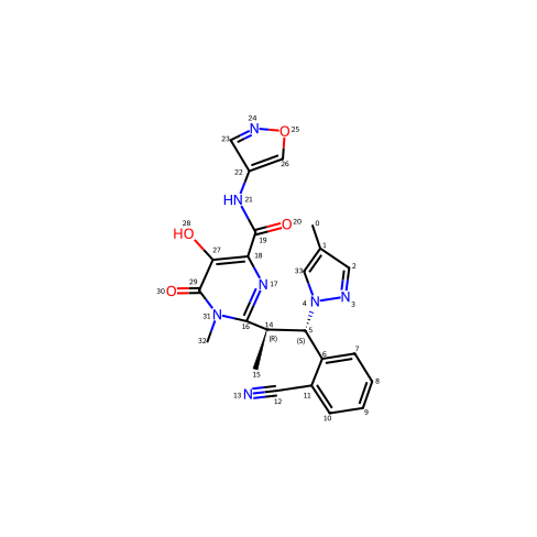 Cc1cnn([C@H](c2ccccc2C#N)[C@@H](C)c2nc(C(=O)Nc3cnoc3)c(O)c(=O)n2C)c1